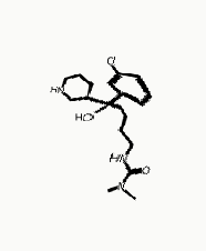 CN(C)C(=O)NCCC[C@@](O)(c1cccc(Cl)c1)[C@@H]1CCCNC1